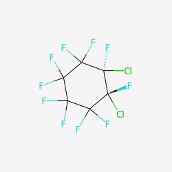 FC1(F)C(F)(F)C(F)(F)[C@@](F)(Cl)[C@](F)(Cl)C1(F)F